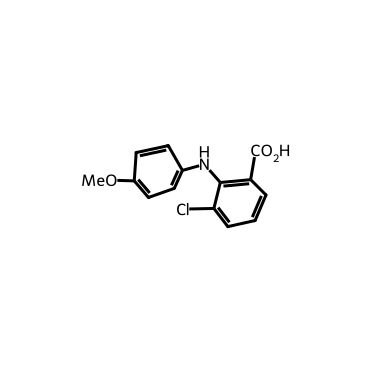 COc1ccc(Nc2c(Cl)cccc2C(=O)O)cc1